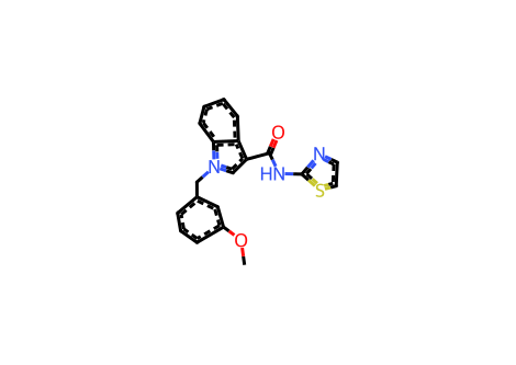 COc1cccc(Cn2cc(C(=O)Nc3nccs3)c3ccccc32)c1